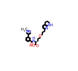 Cn1cc(-c2cccc(C(=O)N[C@@H](CCCOCCCc3ccc4c(n3)NCCC4)C(=O)O)c2)cn1